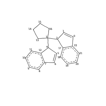 C1=CC(C2(C3C=Cc4ccccc43)CCCC2)c2ccccc21